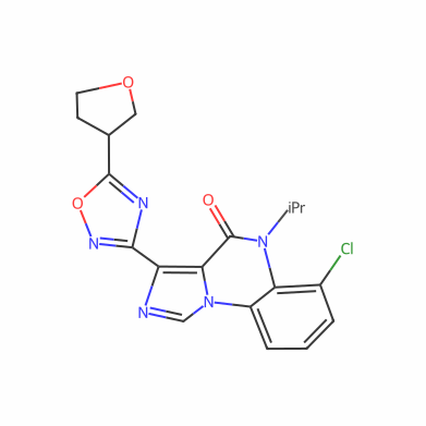 CC(C)n1c(=O)c2c(-c3noc(C4CCOC4)n3)ncn2c2cccc(Cl)c21